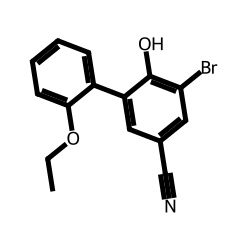 CCOc1ccccc1-c1cc(C#N)cc(Br)c1O